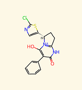 O=c1[nH]c2[n+](c(O)c1-c1ccccc1)[C@H](c1cnc(Cl)s1)CC2